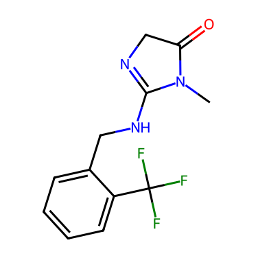 CN1C(=O)CN=C1NCc1ccccc1C(F)(F)F